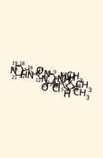 C[C@H]1[C@H]2C[C@H](C[C@H]1Nc1cnn(CC(=O)NCc3ccncc3)c(=O)c1Cl)C2(C)C